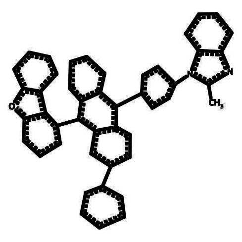 Cc1nc2ccccc2n1-c1ccc(-c2c3ccccc3c(-c3cccc4oc5ccccc5c34)c3cc(-c4ccccc4)ccc23)cc1